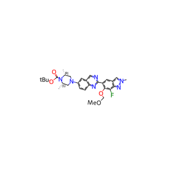 COCOc1c(-c2ncc3cc(N4C[C@@H](C)N(C(=O)OC(C)(C)C)[C@@H](C)C4)ccc3n2)cc2cn(C)nc2c1F